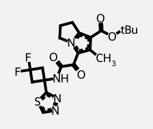 Cc1c(C(=O)OC(C)(C)C)c2n(c1C(=O)C(=O)NC1(c3nncs3)CC(F)(F)C1)CCC2